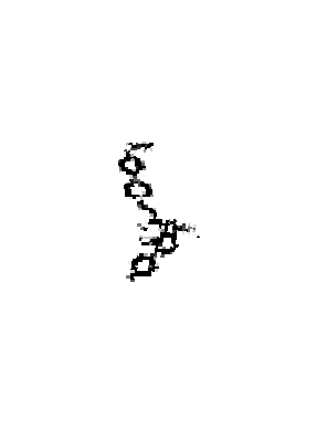 COc1ccc(N2CCN(CCC(=O)n3nc(N)c4c3C(=O)N(c3ccc(C)cc3)CC4)CC2)cc1